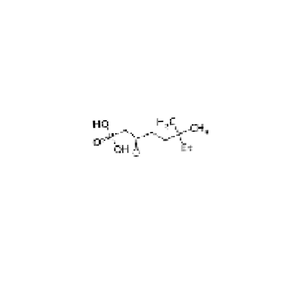 CCC(C)(C)CCC(=O)CP(=O)(O)O